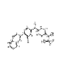 O=C(c1ccc(-c2ccc3ncccc3c2)c(F)c1)N1CCN(C(=O)C2(O)CC2)CC1